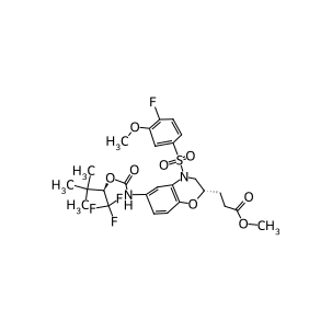 COC(=O)CC[C@H]1CN(S(=O)(=O)c2ccc(F)c(OC)c2)c2cc(NC(=O)O[C@H](C(C)(C)C)C(F)(F)F)ccc2O1